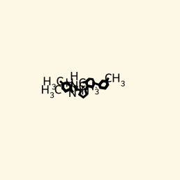 CC1=CCC(c2cccc(C)c2)[C]=C1N1CCC[C@@]1(C)c1nc2cc(C)c(C)cc2[nH]1